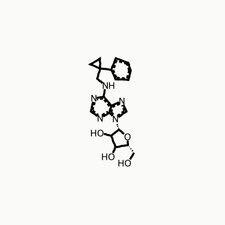 OC[C@H]1O[C@@H](n2cnc3c(NCC4(c5ccccc5)CC4)ncnc32)C(O)C1O